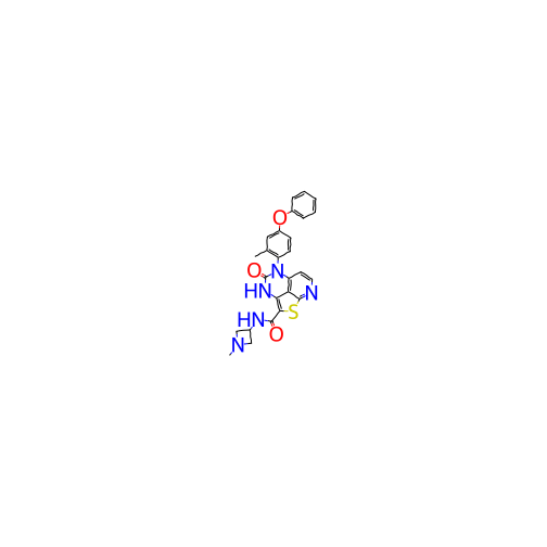 Cc1cc(Oc2ccccc2)ccc1N1C(=O)Nc2c(C(=O)NC3CN(C)C3)sc3nccc1c23